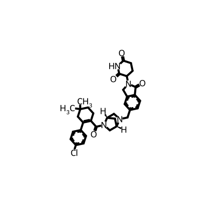 CC1(C)CCC(C(=O)N2C[C@@H]3C[C@H]2CN3Cc2ccc3c(c2)CN(C2CCC(=O)NC2=O)C3=O)=C(c2ccc(Cl)cc2)C1